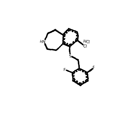 Cl.Fc1cccc(F)c1CSc1c(Cl)ccc2c1CCNCC2